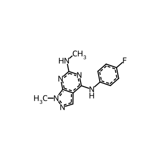 CNc1nc(Nc2ccc(F)cc2)c2cnn(C)c2n1